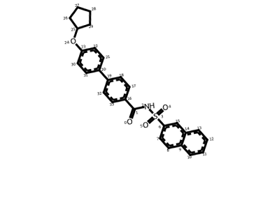 O=C(NS(=O)(=O)c1ccc2ccccc2c1)c1ccc(-c2ccc(OC3CCCC3)cc2)cc1